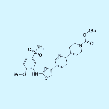 CC(C)Oc1ccc(S(N)(=O)=O)cc1Nc1nc(C2=CCC(C3=CCN(C(=O)OC(C)(C)C)CC3)N=C2)cs1